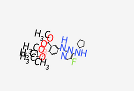 COC(=O)c1cc(Nc2ncc(F)c(NC3CCCC3)n2)ccc1B1OC(C)(C)C(C)(C)O1